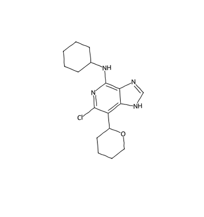 Clc1nc(NC2CCCCC2)c2nc[nH]c2c1C1CCCCO1